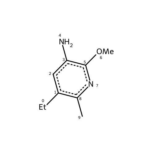 CCc1cc(N)c(OC)nc1C